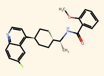 COc1ccccc1C(=O)N[C@H](C)[C@H]1CC[C@H](c2ccnc3ccc(F)cc32)CC1